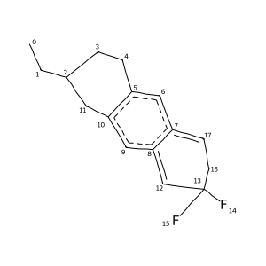 CCC1CCc2cc3c(cc2C1)=CC(F)(F)CC=3